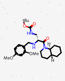 COc1ccc(CN[C@H](CNC(=O)OC(C)(C)C)C(=O)N2CCC[C@H]3CCCC[C@@H]32)c(OC)c1